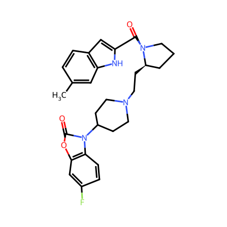 Cc1ccc2cc(C(=O)N3CCC[C@H]3CCN3CCC(n4c(=O)oc5cc(F)ccc54)CC3)[nH]c2c1